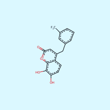 O=c1cc(Cc2cccc(C(F)(F)F)c2)c2ccc(O)c(O)c2o1